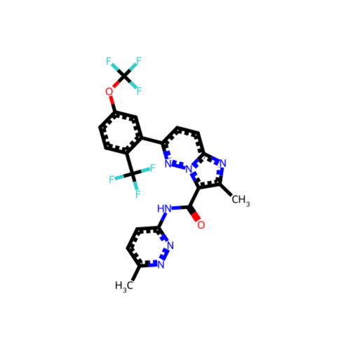 Cc1ccc(NC(=O)c2c(C)nc3ccc(-c4cc(OC(F)(F)F)ccc4C(F)(F)F)nn23)nn1